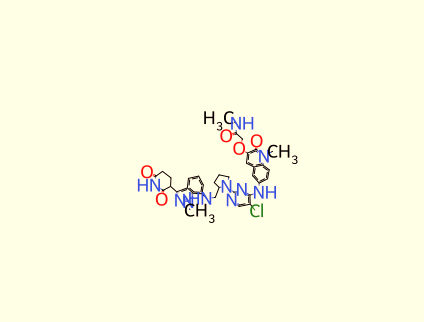 CNC(=O)COc1cc2cc(Nc3nc(N4CCCC4CNc4cccc5c(C6CCC(=O)NC6=O)nn(C)c45)ncc3Cl)ccc2n(C)c1=O